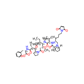 CC[C@H](C)[C@@H]([C@@H](CC(=O)N1CCC[C@H]1[C@H](OC)[C@@H](C)C(=O)N[C@@H](Cc1ccccc1)C(=O)O)OC)N(C)C(=O)[C@@H](NC(=O)[C@@H]1[C@H]2CC[C@@H](C2)N1CCCCCCN1C(=O)C=CC1=O)C(C)C